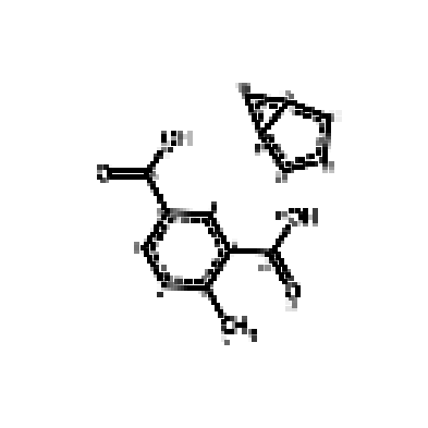 Cc1ccc(C(=O)O)cc1C(=O)O.c1cc2cc-2c1